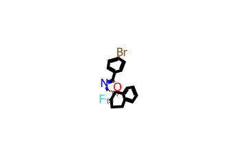 F[C@H]1CCc2ccccc2[C@@]12CN=C(c1ccc(Br)cc1)O2